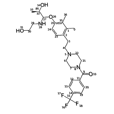 Cc1c(CCN2CCN(C(=O)c3ccc(C(F)(F)F)cc3)CC2)ccc(OC(NCCO)[C@@H](C)O)c1C